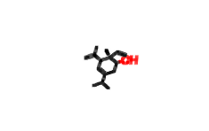 C=C[C@]1(C)[C@@H](O)CC(C(C)C)=C[C@H]1C(=C)C